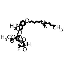 CCCCc1cn(CCCCCCOc2ccc(N)c(CC(=O)OC[C@H]3O[C@@H](n4cc(F)c(=O)[nH]c4=O)C[C@@H]3OC(C)=O)c2)nn1